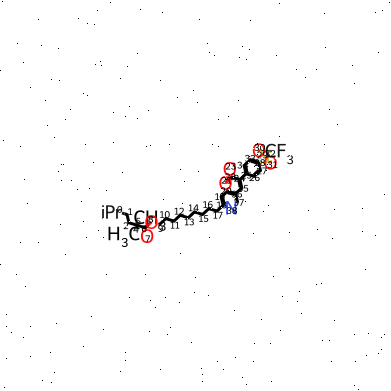 CC(C)CCC(C)(C)C(=O)OCCCCCCCCCc1cc2oc(=O)c(-c3ccc(S(=O)(=O)C(F)(F)F)cc3)cc2cn1